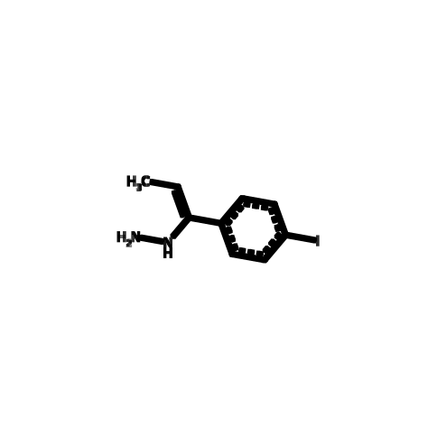 CC=C(NN)c1ccc(I)cc1